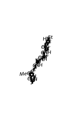 C=C1C[C@H]2C=Nc3cc(OCCCC(=O)Nc4cn(C)c(C(=O)Nc5cc(C(=O)Nc6cc(C(=O)N7Cc8ccc(NCC)cc8C7)n(C)c6)n(C)c5)n4)c(OC)cc3C(=O)N2C1